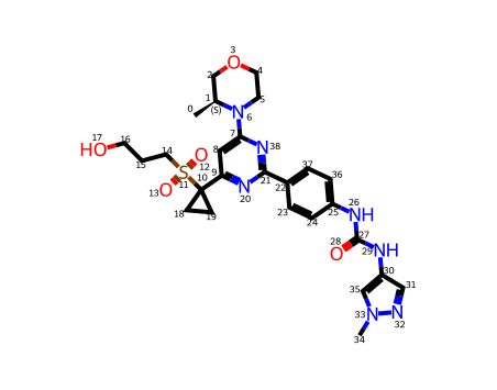 C[C@H]1COCCN1c1cc(C2(S(=O)(=O)CCCO)CC2)nc(-c2ccc(NC(=O)Nc3cnn(C)c3)cc2)n1